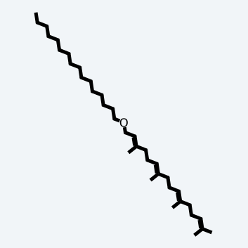 CCCCCCCCCCCCCCCCOC/C=C(\C)CC/C=C(\C)CC/C=C(\C)CCC=C(C)C